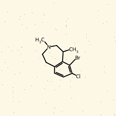 CC1CN(C)CCc2ccc(Cl)c(Br)c21